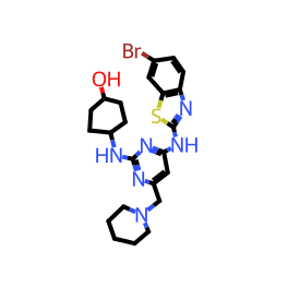 OC1CCC(Nc2nc(CN3CCCCC3)cc(Nc3nc4ccc(Br)cc4s3)n2)CC1